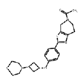 CC(=O)N1CCc2nc(-c3ccc(O[C@H]4C[C@H](N5CCSCC5)C4)cc3)sc2C1